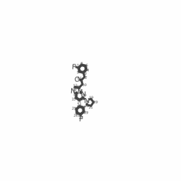 O=C(Cc1cccc(F)c1)Cc1cnc2ccc(N3CCC[C@@H]3c3cccc(F)c3)nn12